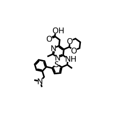 Cc1nc(CC(=O)O)c(C2OCCCO2)c(NC(C)c2ccc(-c3ccccc3CN(C)C)s2)n1